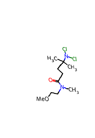 COCCN(C)C(=O)CCC(C)(C)N(Cl)Cl